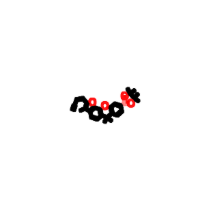 C#C/C=C\c1oc2c3c(ccc2c1C)C(C)(C)c1ccc(B2OC(C)(C)C(C)(C)O2)cc1O3